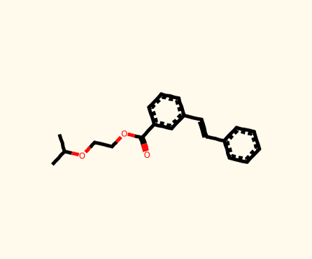 CC(C)OCCOC(=O)c1cccc(C=[C]c2ccccc2)c1